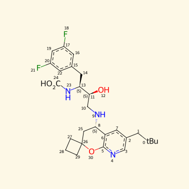 CC(C)(C)Cc1cnc2c(c1)[C@@H](NC[C@H](O)[C@H](Cc1cc(F)cc(F)c1)NC(=O)O)CC1(CCC1)O2